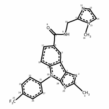 Cc1nc2c3cc(C(=O)NCc4nccn4C)ccc3n(-c3ccc(C(F)(F)F)cc3)c2s1